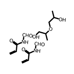 C=CC(=O)NC=O.C=CC(=O)NC=O.CC(O)COC(C)CO